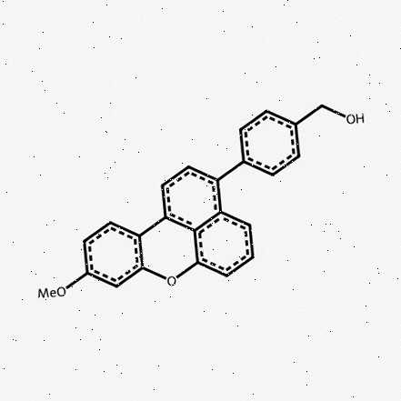 COc1ccc2c(c1)Oc1cccc3c(-c4ccc(CO)cc4)ccc-2c13